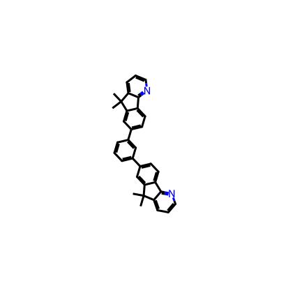 CC1(C)c2cc(-c3cccc(-c4ccc5c(c4)C(C)(C)c4cccnc4-5)c3)ccc2-c2ncccc21